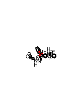 O=S1(=O)CC2(CC(Nc3nccc(-c4sc(N5C6CCC5CN(C5CCOC5)C6)nc4-c4cccc(NS(=O)(=O)c5c(F)cccc5F)c4F)n3)C2)C1